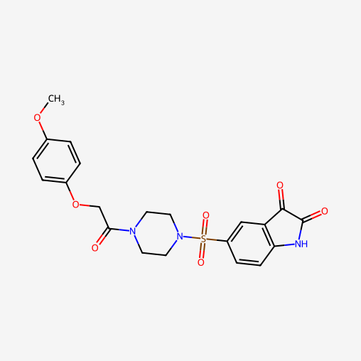 COc1ccc(OCC(=O)N2CCN(S(=O)(=O)c3ccc4c(c3)C(=O)C(=O)N4)CC2)cc1